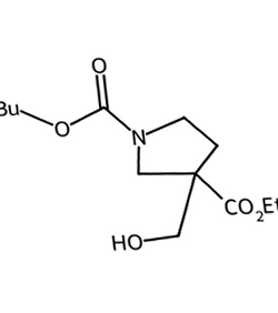 CCOC(=O)C1(CO)CCN(C(=O)OC(C)(C)C)C1